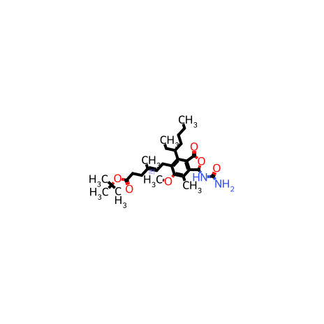 CCCCC(CC)c1c(C/C=C(\C)CCC(=O)OC(C)(C)C)c(OC)c(C)c2c1C(=O)OC2NC(N)=O